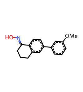 COc1cccc(-c2ccc3c(c2)CCCC3=NO)c1